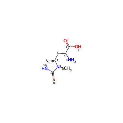 Cn1c(CC(N)C(=O)O)c[nH]c1=S